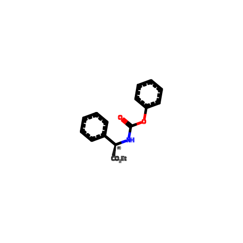 CCOC(=O)[C@H](NC(=O)Oc1ccccc1)c1ccccc1